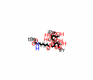 CC(C)OC1OC(COC(=O)CCCCCNC(=O)OC(C)(C)C)C(OC2OC(CO)C(OC(C)C)C(O)C2O)C(O)C1O